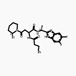 CC[C@H]1CCCCN1C(=O)CC(NC(=O)CCC(C)C)C(=O)N[C@@H](C)c1nc2cc(F)c(F)cc2[nH]1